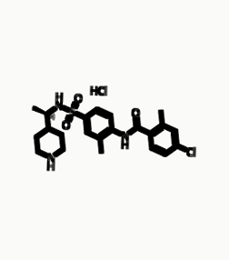 Cc1cc(S(=O)(=O)N[C@H](C)C2CCNCC2)ccc1NC(=O)c1ccc(Cl)cc1C.Cl